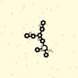 C/C1=C(\c2ccccc2)NC(c2ccccc2)/N=C(/c2ccc3c(c2)oc2c(-c4ccc5c(c4)oc4ccccc45)cc(-c4ccc5c(c4)oc4ccccc45)cc23)CC1